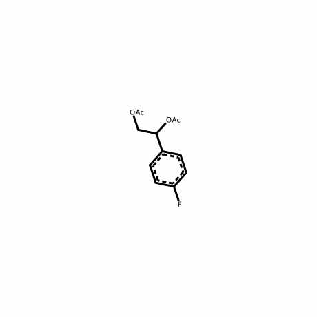 CC(=O)OCC(OC(C)=O)c1ccc(F)cc1